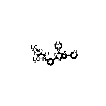 Cc1nc(C)c(C(=O)Nc2cccc(-c3nc(N4CCOCC4)c4sc(-c5cccnc5)cc4n3)c2)o1